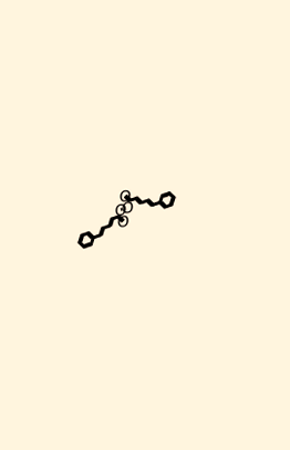 O=C(/C=C/C=C/c1ccccc1)OOC(=O)/C=C/C=C/c1ccccc1